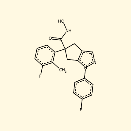 Cc1c(F)cccc1C1(C(=O)NO)Cc2cnn(-c3ccc(F)cc3)c2C1